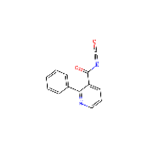 O=C=NC(=O)c1cccnc1-c1ccccc1